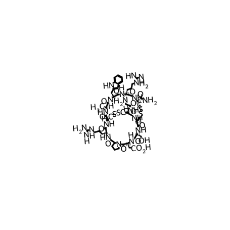 C[C@@H]1NC(=O)[C@@H]2CSSC[C@H](NC(=O)CN)C(=O)N[C@@H](CSSC[C@@H](C(N)=O)NC(=O)[C@H](CCCNC(=N)N)NC(=O)[C@H](Cc3cc4ccccc4[nH]3)NC1=O)C(=O)N[C@@H](CO)C(=O)N[C@@H](CC(=O)O)C(=O)N1CCCC1C(=O)N[C@@H](CCCNC(=N)N)C(=O)N2